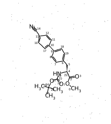 COC(=O)[C@H](Cc1ccc(-c2ccc(C#N)cc2)cc1)NC(=O)OC(C)(C)C